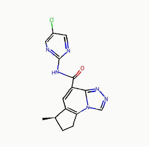 C[C@@H]1CCc2c1cc(C(=O)Nc1ncc(Cl)cn1)c1nncn21